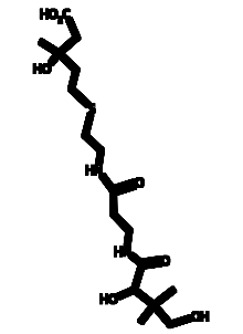 CC(O)(CCSCCNC(=O)CCNC(=O)C(O)C(C)(C)CO)CC(=O)O